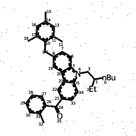 CCCCC(CC)Cn1c2ccc([C]c3c(C)cc(C)cc3C)cc2c2cc(C(=O)c3ccccc3C)ccc21